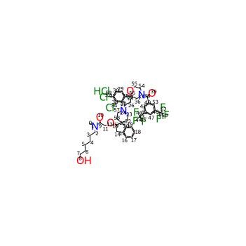 CN(CCCCCCO)C(=O)CO[C@H]1Cc2ccccc2C12CCN(CC[C@]1(c3ccc(Cl)c(Cl)c3)CN(C(=O)c3cc(C(F)(F)F)cc(C(F)(F)F)c3)CCO1)CC2.Cl